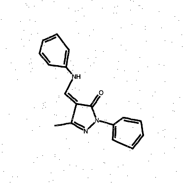 CC1=NN(c2ccccc2)C(=O)/C1=C\Nc1ccccc1